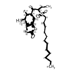 CCCCCCCCCCCCS(=O)(=O)C(CC)C(=O)c1cc2oc(=O)[nH]c2c(N)c1F